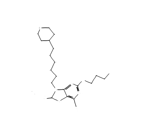 CCCCOc1nc(N)c2c(n1)N(CCCCCCC1CCNCC1)C(O)N2.Cl